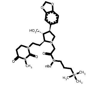 CCCCN(CCC[N+](C)(C)C)C(=O)CN1C[C@H](c2ccc3c(c2)OCO3)[C@@H](C(=O)O)[C@@H]1CCN1CCC(=O)N(C)C1=O